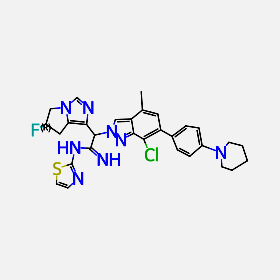 Cc1cc(-c2ccc(N3CCCCC3)cc2)c(Cl)c2nn(C(C(=N)Nc3nccs3)c3ncn4c3C[C@@H](F)C4)cc12